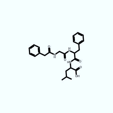 CC(C)CC(NC(=O)C(Cc1ccccc1)NC(=O)CNC(=O)Cc1ccccc1)C(=O)O